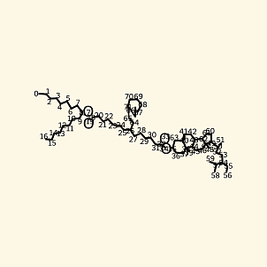 CCCCCCCCC(CCCCCCCC)OC(=O)CCCCCCC(CCCCCC(=O)OC1CCC2(C)C(=CCC3C2CCC2(C)C(C(C)CCC(CC)C(C)C)CCC32)C1)CCN1CCCCC1